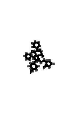 CC(C)c1c(C(=O)Nc2ccccc2)c(-c2ccccc2)c(-c2ccc(F)cc2)n1CCC1CCCN1C